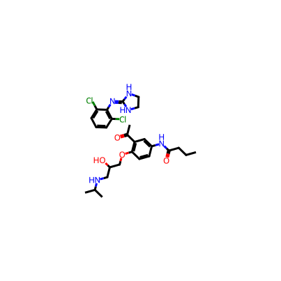 CCCC(=O)Nc1ccc(OCC(O)CNC(C)C)c(C(C)=O)c1.Clc1cccc(Cl)c1N=C1NCCN1